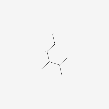 [CH2]C[CH]C(C)C(C)C